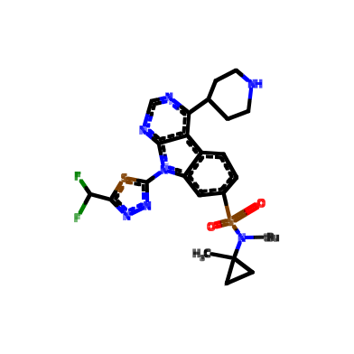 CC(C)(C)N(C1(C)CC1)S(=O)(=O)c1ccc2c3c(C4CCNCC4)ncnc3n(-c3nnc(C(F)F)s3)c2c1